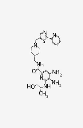 C[C@@H](CO)Nc1nc(C(=O)NCC2CCN(Cc3cnc(-c4ccccn4)s3)CC2)cc(N)c1N